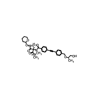 CNC(=O)C(C)(C(=O)NOC1CCCCO1)N(C)C(=O)c1ccc(C#Cc2ccc(CO[C@H](C)CO)cc2)cc1